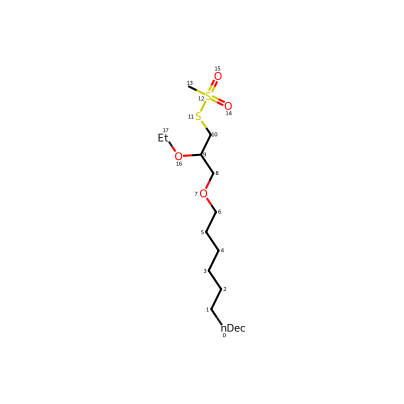 CCCCCCCCCCCCCCCCOCC(CSS(C)(=O)=O)OCC